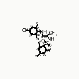 Cc1cc(C)c(S(=O)(=O)NC(CNc2c(C)cc(Cl)cc2C)C(F)(F)F)c(C)c1